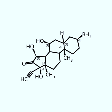 B[C@H]1CC[C@]2(C)C3CC[C@@]4(C)C(C3[C@@H](O)C[C@@H]2C1)[C@H](O)C(=O)[C@@]4(O)C#C